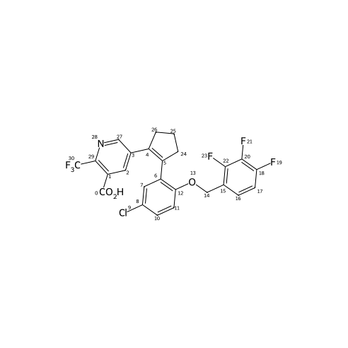 O=C(O)c1cc(C2=C(c3cc(Cl)ccc3OCc3ccc(F)c(F)c3F)CCC2)cnc1C(F)(F)F